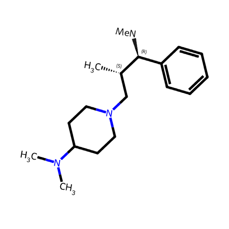 [CH2-][NH2+][C@@H](c1ccccc1)[C@@H](C)CN1CCC(N(C)C)CC1